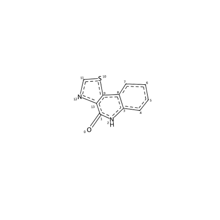 O=c1[nH]c2ccccc2c2scnc12